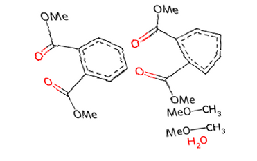 COC.COC.COC(=O)c1ccccc1C(=O)OC.COC(=O)c1ccccc1C(=O)OC.O